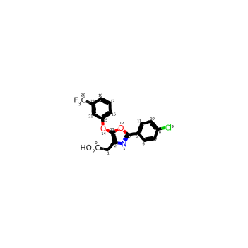 O=C(O)Cc1nc(-c2ccc(Cl)cc2)oc1Oc1cccc(C(F)(F)F)c1